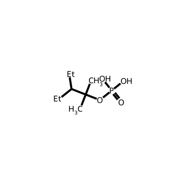 CCC(CC)C(C)(C)OP(=O)(O)O